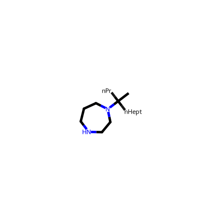 CCCCCCCC(C)(CCC)N1CCCNCC1